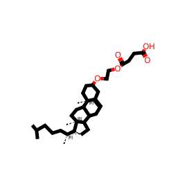 CC(C)CCC[C@@H](C)[C@H]1CCC2C3CC=C4CC(OCCOC(=O)CCC(=O)O)CC[C@]4(C)C3CC[C@@]21C